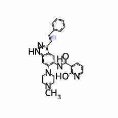 CN1CCN(c2cc3[nH]nc(/C=C/c4ccccc4)c3cc2NC(=O)c2cccnc2O)CC1